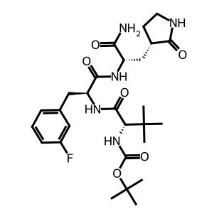 CC(C)(C)OC(=O)N[C@H](C(=O)N[C@@H](Cc1cccc(F)c1)C(=O)N[C@@H](C[C@@H]1CCNC1=O)C(N)=O)C(C)(C)C